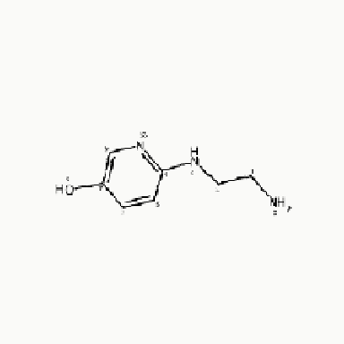 NCCNc1ccc(O)cn1